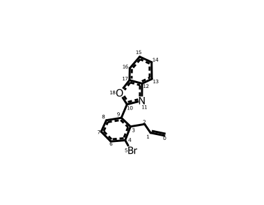 C=CCc1c(Br)cccc1-c1nc2ccccc2o1